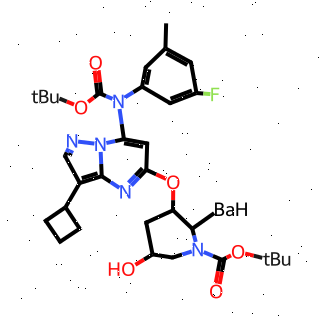 Cc1cc(F)cc(N(C(=O)OC(C)(C)C)c2cc(OC3CC(O)CN(C(=O)OC(C)(C)C)[CH]3[BaH])nc3c(C4CCC4)cnn23)c1